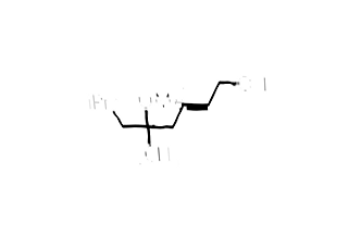 COC(C)(C/C=C/CO)CC(C)C